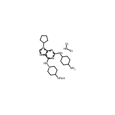 CCCCCC1CCN(Nc2nc(NC3CCC(N)CC3)nc3c2ncn3C2CCCC2)CC1.CCNCC